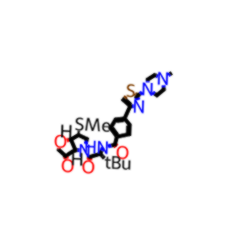 CS[C@H]1CN(C(=O)C(NC(=O)c2ccc(-c3csc(N4CCN(C)CC4)n3)cc2)C(C)(C)C)[C@@H]2C(=O)CO[C@H]12